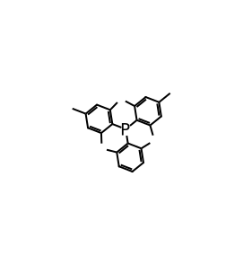 Cc1cc(C)c(P(c2c(C)cccc2C)c2c(C)cc(C)cc2C)c(C)c1